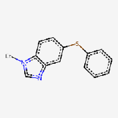 CCn1cnc2cc(Sc3ccccc3)ccc21